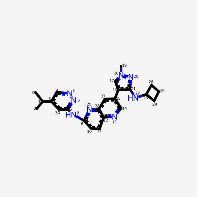 CC(C)c1cnnc(Nc2ccc3ncc(-c4cn(C)nc4NC4CCC4)cc3n2)c1